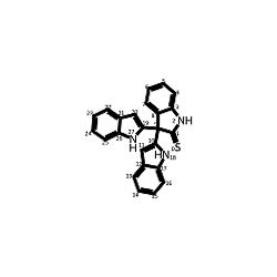 S=C1Nc2ccccc2C1(c1cc2ccccc2[nH]1)c1cc2ccccc2[nH]1